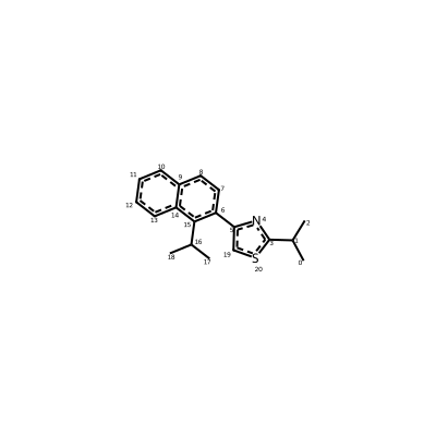 CC(C)c1nc(-c2ccc3ccccc3c2C(C)C)cs1